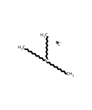 CCCCCCCCCCCC[S+](CCCCCCCCCCCC)CCCCCCCCCCCC.[C-]#N